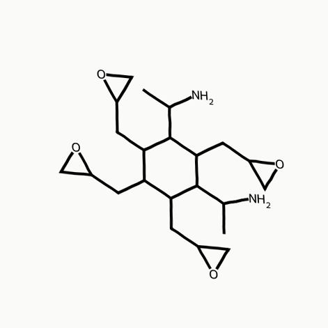 CC(N)C1C(CC2CO2)C(CC2CO2)C(CC2CO2)C(C(C)N)C1CC1CO1